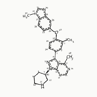 Cc1cc(-c2nn([C@@H]3CCCNC3)c3ncnc(C)c23)ccc1Oc1ccc2c(c1)ncn2C